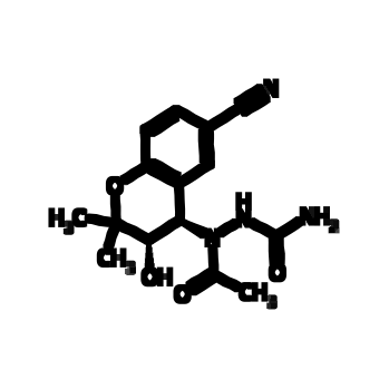 CC(=O)N(NC(N)=O)[C@@H]1c2cc(C#N)ccc2OC(C)(C)[C@H]1O